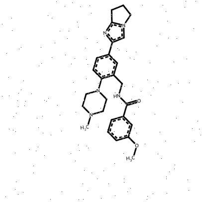 COc1cccc(C(=O)NCc2cc(-c3cn4c(n3)CCC4)ccc2N2CCN(C)CC2)c1